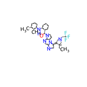 CC[C@@H]1CN(CC(F)(F)F)C[C@@H]1c1cnc2cnc3c(ccn3C(=O)c3ccccc3Nc3cccc(C)c3C)n12